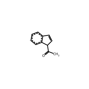 CC(=O)C1C=Cc2cc[c]cc21